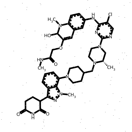 CNC(=O)COC1=Cc2cc(Nc3nc(N4CCN(CC5CCN(c6cccc7c(C8CCC(=O)NC8=O)nn(C)c67)CC5)[C@@H](C)C4)ncc3Cl)ccc2N(C)C1O